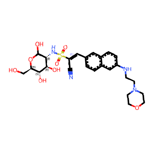 N#C/C(=C\c1ccc2cc(NCCN3CCOCC3)ccc2c1)S(=O)(=O)N[C@H]1C(O)O[C@H](CO)[C@@H](O)[C@@H]1O